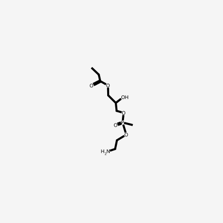 CCC(=O)OCC(O)COP(C)(=O)OCCN